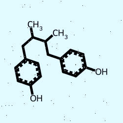 CC(Cc1ccc(O)cc1)C(C)Cc1ccc(O)cc1